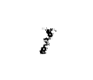 Cc1cc2cc(Nc3ccnc(NCc4ccc5[nH]ccc5c4)n3)ccc2n1C